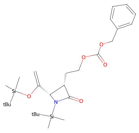 C=C(O[Si](C)(C)C(C)(C)C)[C@@H]1[C@H](CCOC(=O)OCc2ccccc2)C(=O)N1[Si](C)(C)C(C)(C)C